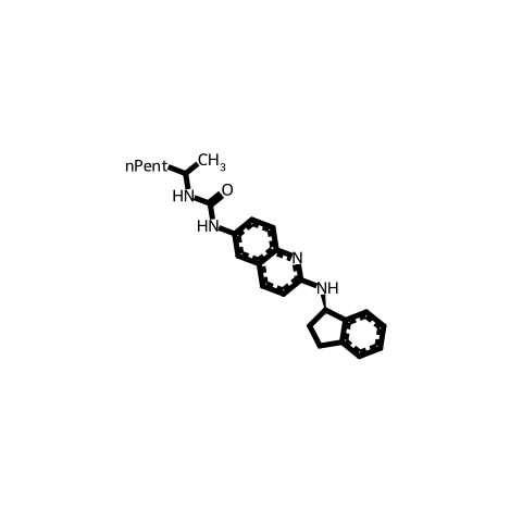 CCCCCC(C)NC(=O)Nc1ccc2nc(N[C@@H]3CCc4ccccc43)ccc2c1